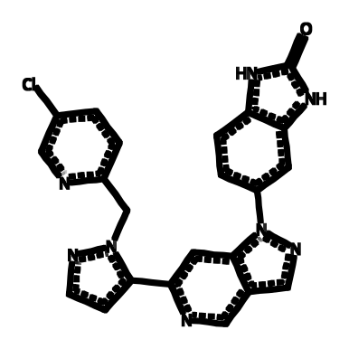 O=c1[nH]c2ccc(-n3ncc4cnc(-c5ccnn5Cc5ccc(Cl)cn5)cc43)cc2[nH]1